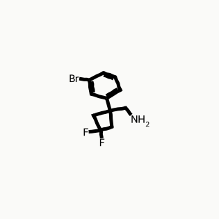 NCC1(c2cccc(Br)c2)CC(F)(F)C1